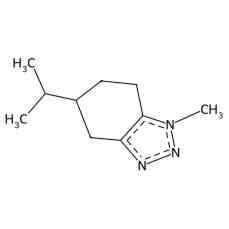 CC(C)C1CCc2c(nnn2C)C1